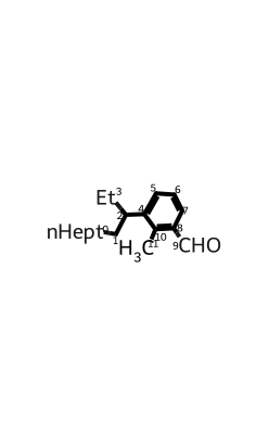 CCCCCCCCC(CC)c1cccc(C=O)c1C